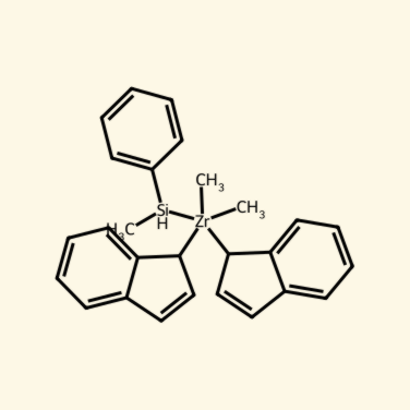 C[SiH](c1ccccc1)[Zr]([CH3])([CH3])([CH]1C=Cc2ccccc21)[CH]1C=Cc2ccccc21